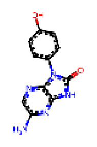 Nc1cnc2c(n1)[nH]c(=O)n2-c1ccc(O)cc1